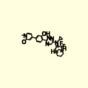 Cn1ccc(-c2ccc(-c3ncc(N(C4CC4)[C@@H]4C[C@H]5CCC[C@H](C5)C4(F)F)nn3)c(O)c2)cc1=O